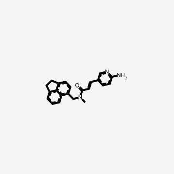 CN(Cc1ccc2c3c(cccc13)CC2)C(=O)C=Cc1ccc(N)nc1